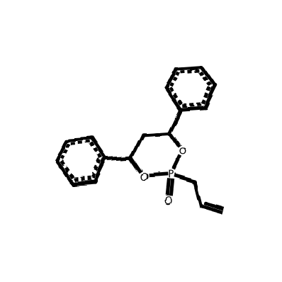 C=CCP1(=O)OC(c2ccccc2)CC(c2ccccc2)O1